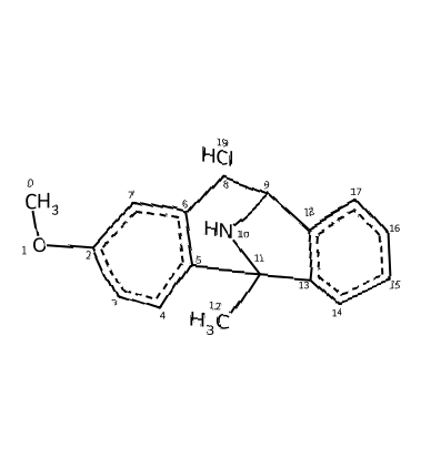 COc1ccc2c(c1)CC1NC2(C)c2ccccc21.Cl